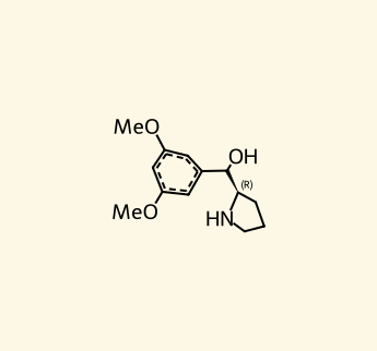 COc1cc(OC)cc(C(O)[C@H]2CCCN2)c1